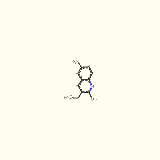 Cc1nc2ccc([N+](=O)[O-])cc2cc1CC(=O)O